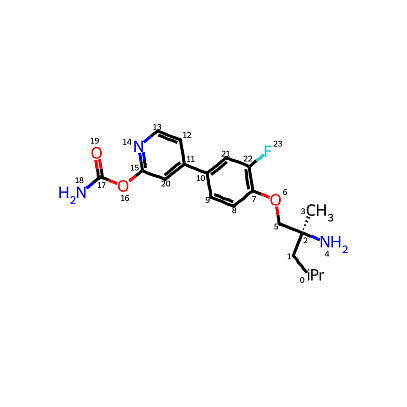 CC(C)C[C@](C)(N)COc1ccc(-c2ccnc(OC(N)=O)c2)cc1F